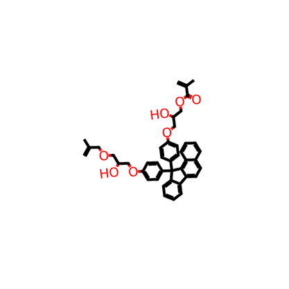 C=C(C)COCC(O)COc1ccc(C2(c3ccc(OCC(O)COC(=O)C(=C)C)cc3)c3ccccc3-c3ccc4ccccc4c32)cc1